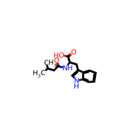 CC(C)CC(=O)NC(Cc1c[nH]c2ccccc12)C(=O)O